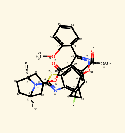 COC(=O)c1cc(F)c2nc(N3[C@@H]4CC[C@H]3C[C@@H](OC(=O)c3c(-c5ccccc5OC(F)(F)F)noc3C3CC3)C4)sc2c1